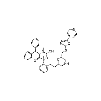 O=C(O)N[C@H](C(=O)Nc1ccccc1CC[C@@H]1CNC[C@@H](CSc2nnc(-c3ccncc3)o2)O1)C(c1ccccc1)c1ccccc1